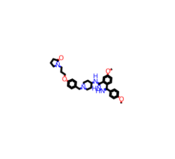 COc1ccc(C(=N)c2ccc(OC)cc2C(=N)NC2CCN(Cc3ccc(OCCCN4CCCC4=O)cc3)CC2)cc1